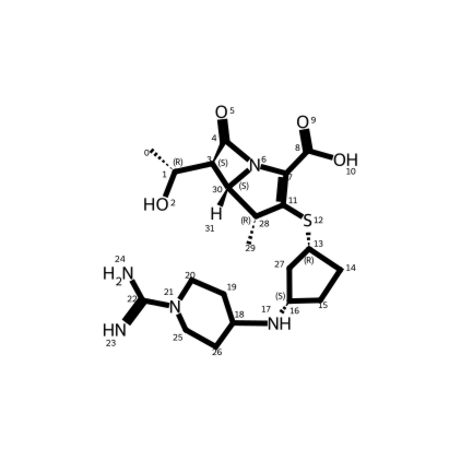 C[C@@H](O)[C@H]1C(=O)N2C(C(=O)O)=C(S[C@@H]3CC[C@H](NC4CCN(C(=N)N)CC4)C3)[C@H](C)[C@H]12